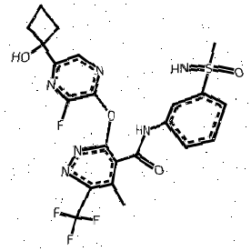 Cc1c(C(F)(F)F)nnc(Oc2ncc(C3(O)CCC3)nc2F)c1C(=O)Nc1cccc(S(C)(=N)=O)c1